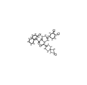 O=C1CC2(CCN(C(=O)C3CN(c4ccc(Cl)c(Cl)c4)CCN3C(=O)n3c(=O)ccc4ccccc43)CC2)C1